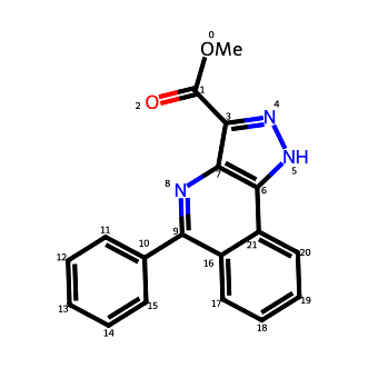 COC(=O)c1n[nH]c2c1nc(-c1ccccc1)c1ccccc12